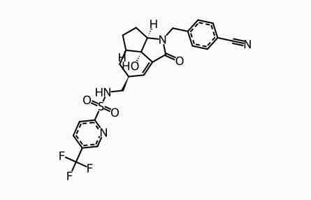 N#Cc1ccc(CN2C(=O)C3=C[C@@H](CNS(=O)(=O)c4ccc(C(F)(F)F)cn4)C[C@H]4CC[C@@H]2[C@@]34O)cc1